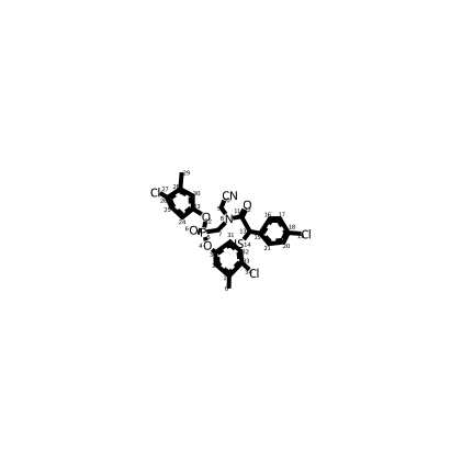 Cc1cc(OP(=O)(CN(CC#N)C(=O)C(S)c2ccc(Cl)cc2)Oc2ccc(Cl)c(C)c2)ccc1Cl